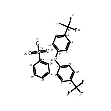 FC(F)(F)c1ccc([I+]c2ccc(C(F)(F)F)cc2)cc1.O=S(=O)([O-])c1ccccc1